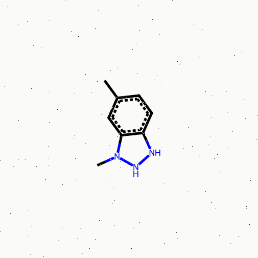 Cc1ccc2c(c1)N(C)NN2